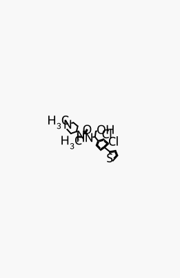 CN1CCC(N(C)C(=O)NC(CO)c2ccc(-c3cccs3)c(Cl)c2Cl)CC1